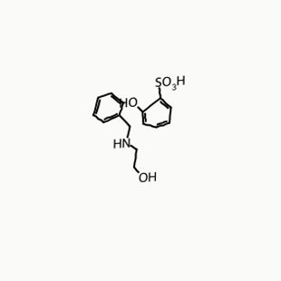 O=S(=O)(O)c1ccccc1O.OCCNCc1ccccc1